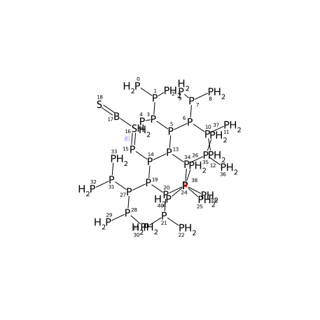 PP(P)P(P)P(P(P(P)P)P(P)P)P(P(/P=[SH]/B=S)P(P(P(P)P)P(P)P)P(P(P)P)P(P)P)P(P(P)P)P(P)P